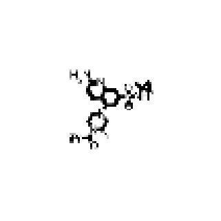 CC(C)C(=O)N1CCN(c2cc(S(=O)(=O)NC3(C)CC3)cc3nc(N)ccc23)C[C@@H]1C